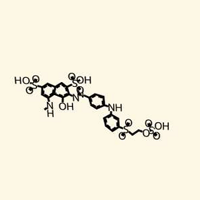 CNc1cc(S(=O)(=O)O)cc2cc(S(=O)(=O)O)c(/N=N/c3ccc(Nc4cccc(S(=O)(=O)CCOS(=O)(=O)O)c4)cc3)c(O)c12